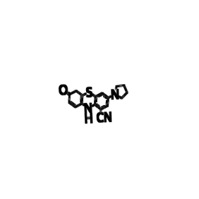 N#Cc1cc(N2CCCC2)cc2c1NC1=C(CC(=O)C=C1)S2